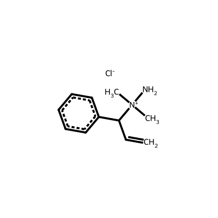 C=CC(c1ccccc1)[N+](C)(C)N.[Cl-]